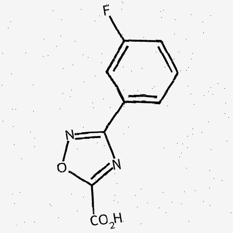 O=C(O)c1nc(-c2cccc(F)c2)no1